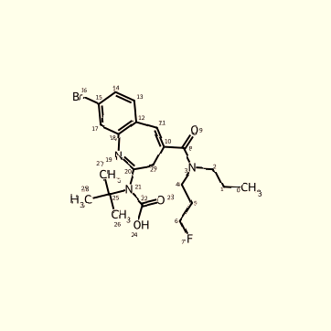 CCCN(CCCF)C(=O)C1=Cc2ccc(Br)cc2N=C(N(C(=O)O)C(C)(C)C)C1